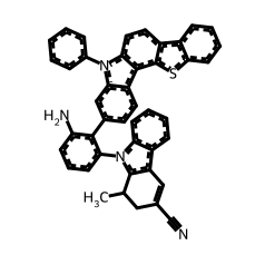 CC1CC(C#N)=Cc2c1n(-c1cccc(N)c1-c1ccc3c4c5sc6ccccc6c5ccc4n(-c4ccccc4)c3c1)c1ccccc21